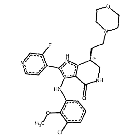 COc1c(Cl)cccc1Nc1c(-c2ccncc2F)[nH]c2c1C(=O)NC[C@@H]2CCN1CCOCC1